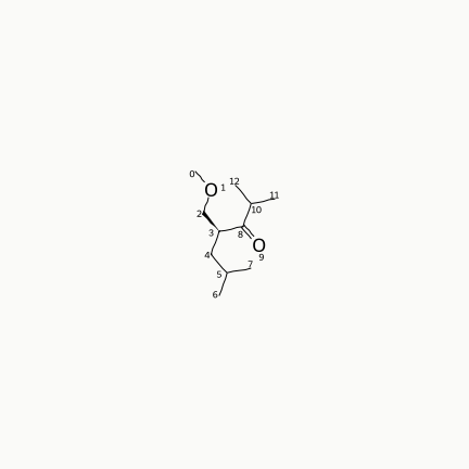 COC[C@H](CC(C)C)C(=O)C(C)C